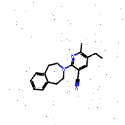 CCc1cc(C#N)c(N2CCc3ccccc3CC2)nc1C